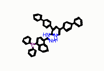 N=C(NC1NC=C(c2ccc(-c3ccccc3)cc2)C=C1c1ccc(-c2ccccc2)cc1)c1ccc(P(c2ccccc2)c2ccccc2)c2ccccc12